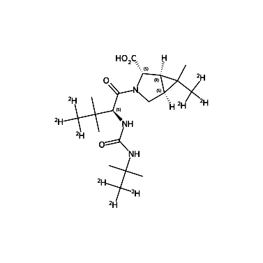 [2H]C([2H])([2H])C(C)(C)NC(=O)N[C@H](C(=O)N1C[C@H]2[C@@H]([C@H]1C(=O)O)C2(C)C([2H])([2H])[2H])C(C)(C)C([2H])([2H])[2H]